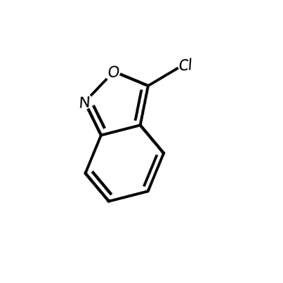 Clc1onc2ccccc12